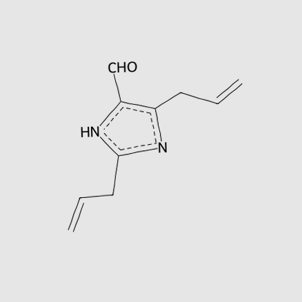 C=CCc1nc(CC=C)c(C=O)[nH]1